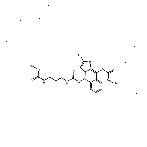 CC(=O)c1cc2c(OC(=O)NCCCNC(=O)OC(C)(C)C)c3ccccc3c(OC(=O)OC(C)(C)C)c2o1